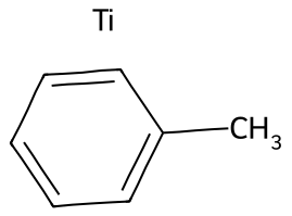 Cc1ccccc1.[Ti]